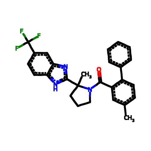 Cc1ccc(-c2ccccc2)c(C(=O)N2CCCC2(C)c2nc3cc(C(F)(F)F)ccc3[nH]2)c1